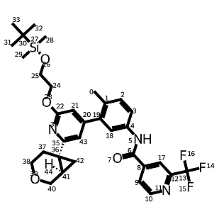 Cc1ccc(NC(=O)c2ccnc(C(F)(F)F)c2)cc1-c1cc(OCCO[Si](C)(C)C(C)(C)C)nc([C@@]23CCOC[C@@H]2C3)c1